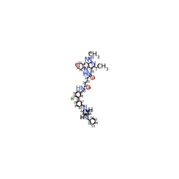 CCc1nc2c(cnn2CC)c(NC2CCOCC2)c1CNC(=O)CCCC(=O)NCc1ccc(F)c(-c2cccc(CN3C[C@@H]4C[C@@H]3CN4Cc3ccccc3)c2)c1